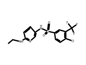 CCNc1ccc(NS(=O)(=O)c2ccc(Cl)c(C(F)(F)F)c2)cn1